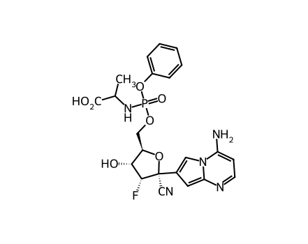 CC(NP(=O)(OC[C@H]1O[C@@](C#N)(c2cc3nccc(N)n3c2)[C@H](F)[C@@H]1O)Oc1ccccc1)C(=O)O